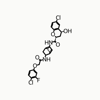 O=C(COc1ccc(Cl)c(F)c1)NC1CC2OC1CC2NC(=O)[C@@H]1C[C@H](O)c2cc(Cl)ccc2O1